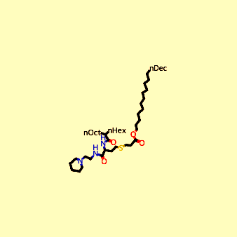 CCCCCCCCCCCCCCCCCCCCCCOC(=O)CCSCCC(NC(=O)C(CCCCCC)CCCCCCCC)C(=O)NCCN1CCCCC1